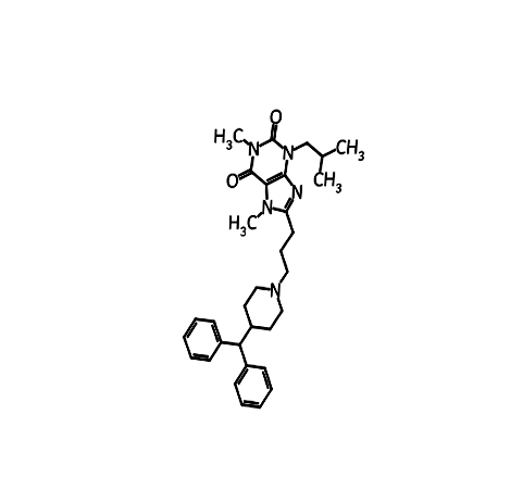 CC(C)Cn1c(=O)n(C)c(=O)c2c1nc(CCCN1CCC(C(c3ccccc3)c3ccccc3)CC1)n2C